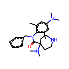 Cc1cc(N(C)C)cc(C)c1N(Cc1ccccc1)C(=O)C1(N(C)C)CCNCC1